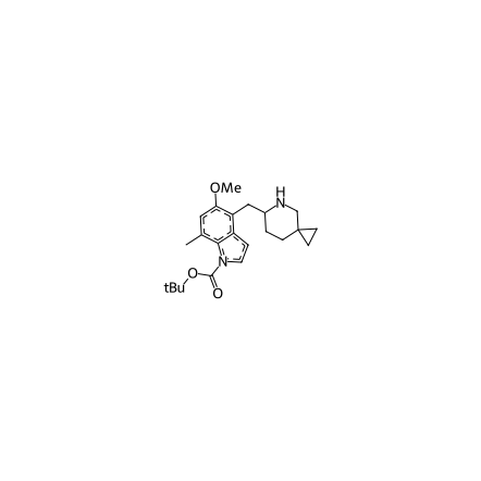 COc1cc(C)c2c(ccn2C(=O)OC(C)(C)C)c1CC1CCC2(CC2)CN1